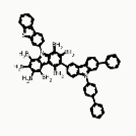 Bc1c(B)c(B)c2c(c1B)c1c(B)c(-c3ccc4c(c3)c3ccc(-c5ccccc5)cc3n4-c3ccc(-c4ccccc4)cc3)c(B)c(B)c1n2-c1ccc2c(c1)sc1ccccc12